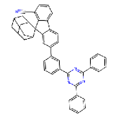 N#Cc1cccc2c1C1(c3cc(-c4cccc(-c5nc(-c6ccccc6)nc(-c6ccccc6)n5)c4)ccc3-2)C2CC3CC(C2)CC1C3